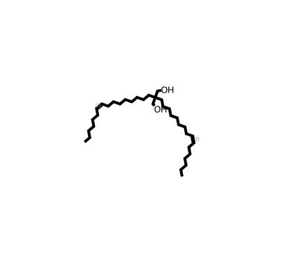 CCCCCC/C=C\CCCCCCCCC(CO)(CO)CCCCCCCC/C=C\CCCCCC